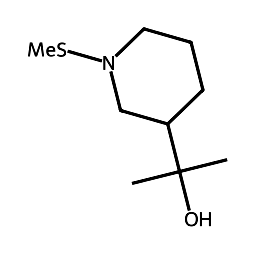 CSN1CCCC(C(C)(C)O)C1